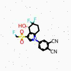 N#Cc1ccc(-n2cc(S(=O)(=O)CF)c3c2CCC(F)(F)[C@H]3O)cc1C#N